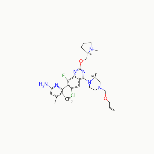 C=CCOCN1CCN(c2nc(OC[C@@H]3CCCN3C)nc3c(F)c(-c4nc(N)cc(C)c4C(F)(F)F)c(Cl)cc23)[C@@H](C)C1